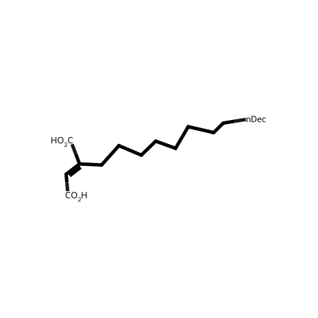 CCCCCCCCCCCCCCCCCC/C(=C\C(=O)O)C(=O)O